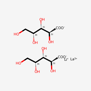 O=C([O-])[C@@H](O)[C@@H](O)[C@H](O)CO.O=C([O-])[C@@H](O)[C@@H](O)[C@H](O)CO.[La+3].[Li+]